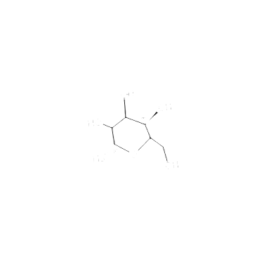 OCC1O[C@H](S)C(O)C(O)[C@H]1O